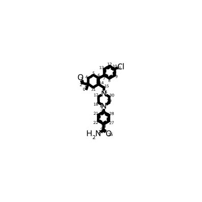 CC1(C=O)CCC(c2ccc(Cl)cc2)=C(CN2CCN(c3ccc(C(N)=O)cc3)CC2)C1